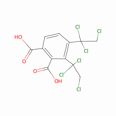 O=C(O)c1ccc(C(Cl)(Cl)CCl)c(C(Cl)(Cl)CCl)c1C(=O)O